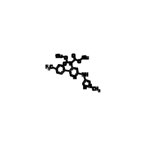 Cn1cc(Nc2cc(N(C(=O)OC(C)(C)C)C(=O)OC(C)(C)C)c(-c3ccc(C(F)(F)F)cc3)cn2)cn1